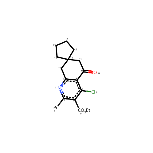 CCOC(=O)c1c(C(C)C)nc2c(c1Cl)C(=O)CC1(CCCC1)C2